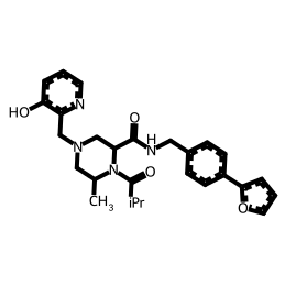 CC(C)C(=O)N1C(C)CN(Cc2ncccc2O)CC1C(=O)NCc1ccc(-c2ccco2)cc1